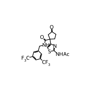 CC(=O)Nc1nc(C2(C(=O)NCc3cc(C(F)(F)F)cc(C(F)(F)F)c3)CCC(=O)C2)cs1